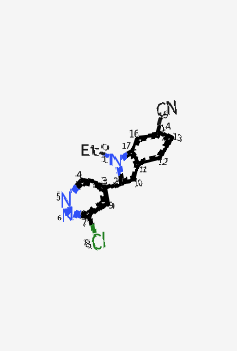 CCn1c(-c2cnnc(Cl)c2)cc2ccc(C#N)cc21